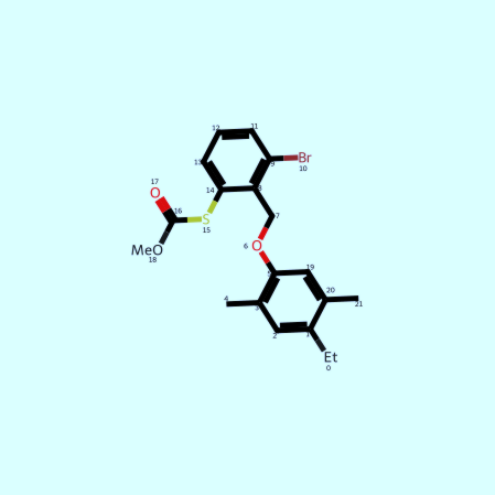 CCc1cc(C)c(OCc2c(Br)cccc2SC(=O)OC)cc1C